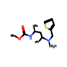 CCCC[C@@H](CC(CCC)N(Cc1cccs1)C(=O)O)NC(=O)OC(C)(C)C